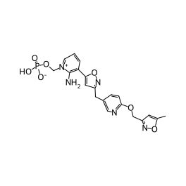 Cc1cc(COc2ccc(Cc3cc(-c4ccc[n+](COP(=O)([O-])O)c4N)on3)cn2)no1